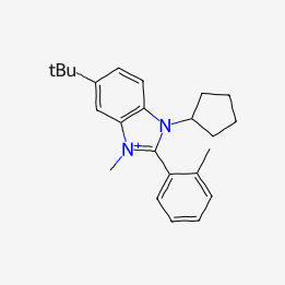 Cc1ccccc1-c1n(C2CCCC2)c2ccc(C(C)(C)C)cc2[n+]1C